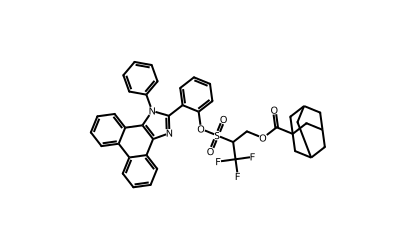 O=C(OCC(C(F)(F)F)S(=O)(=O)Oc1ccccc1-c1nc2c3ccccc3c3ccccc3c2n1-c1ccccc1)C12CC3CC(CC(C3)C1)C2